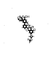 O=C(O)c1cc(F)c(-c2cccc3c2OCN(C(=O)c2c(Cl)cc(N4CC(OC(F)F)C4)cc2Cl)C3)cc1N1C2CCC1COC2